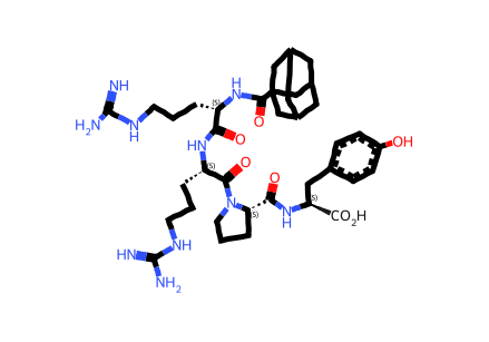 N=C(N)NCCC[C@H](NC(=O)C12CC3CC(CC(C3)C1)C2)C(=O)N[C@@H](CCCNC(=N)N)C(=O)N1CCC[C@H]1C(=O)N[C@@H](Cc1ccc(O)cc1)C(=O)O